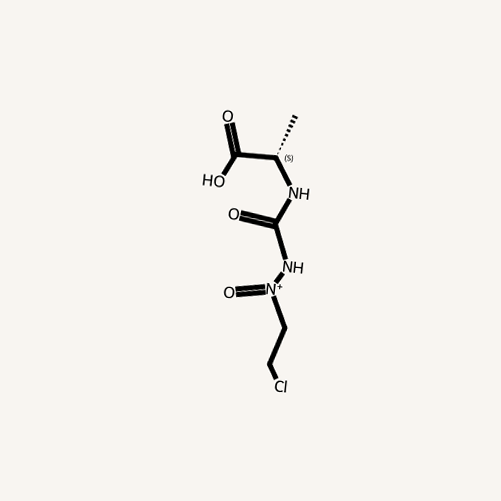 C[C@H](NC(=O)N[N+](=O)CCCl)C(=O)O